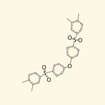 Cc1ccc(S(=O)(=O)c2ccc(Oc3ccc(S(=O)(=O)c4ccc(C)c(C)c4)cc3)cc2)cc1C